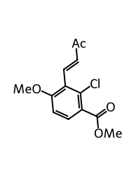 COC(=O)c1ccc(OC)c(C=CC(C)=O)c1Cl